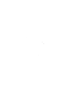 CC(C)[C@@H]1CCC2(CCCC2)CN1C